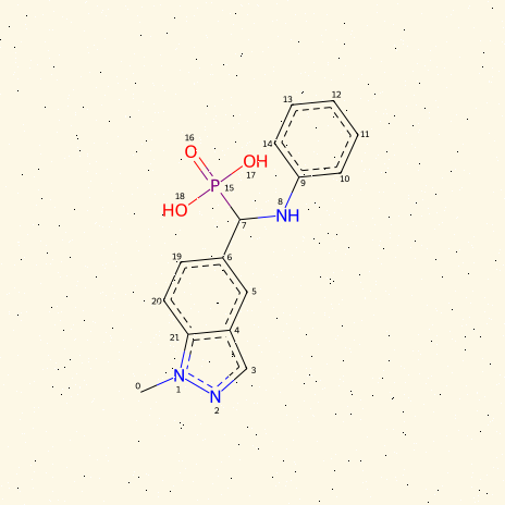 Cn1ncc2cc(C(Nc3ccccc3)P(=O)(O)O)ccc21